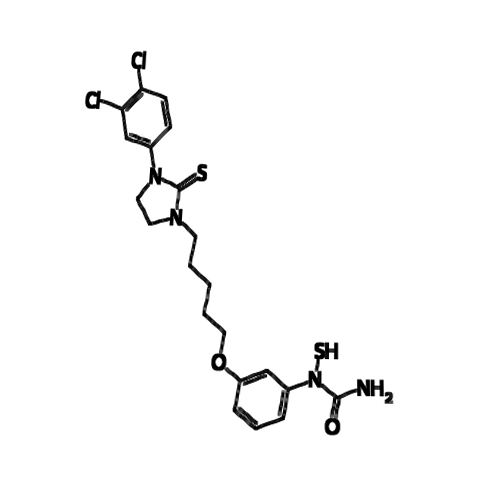 NC(=O)N(S)c1cccc(OCCCCCN2CCN(c3ccc(Cl)c(Cl)c3)C2=S)c1